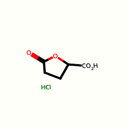 Cl.O=C1CCC(C(=O)O)O1